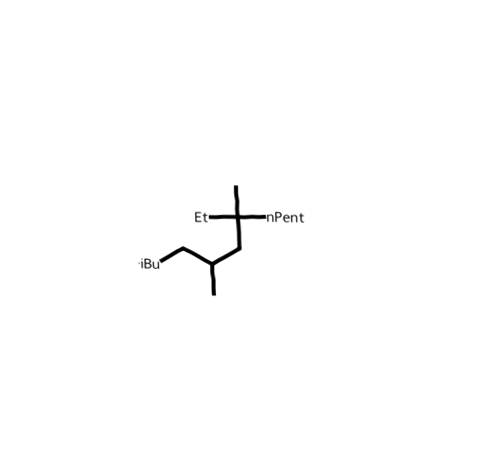 CCCCCC(C)(CC)CC(C)C[C](C)CC